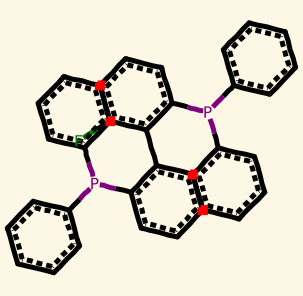 Fc1cccc(P(c2ccccc2)c2ccccc2)c1-c1ccccc1P(c1ccccc1)c1ccccc1